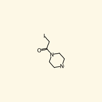 O=C(CI)N1CC[N]CC1